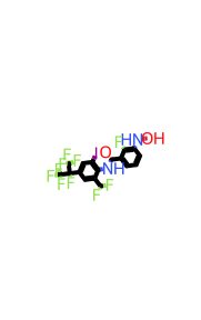 O=C(Nc1c(I)cc(C(F)(C(F)(F)F)C(F)(F)F)cc1C(F)F)c1cccc(NO)c1F